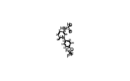 C=C1C=CC(N[SH](=O)=O)=CN1c1ccc(OC(F)(F)F)cc1